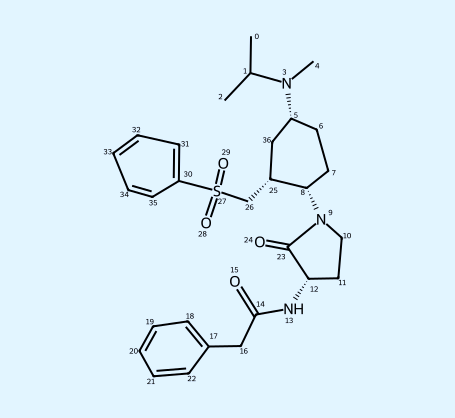 CC(C)N(C)[C@@H]1CC[C@H](N2CC[C@H](NC(=O)Cc3ccccc3)C2=O)[C@H](CS(=O)(=O)c2ccccc2)C1